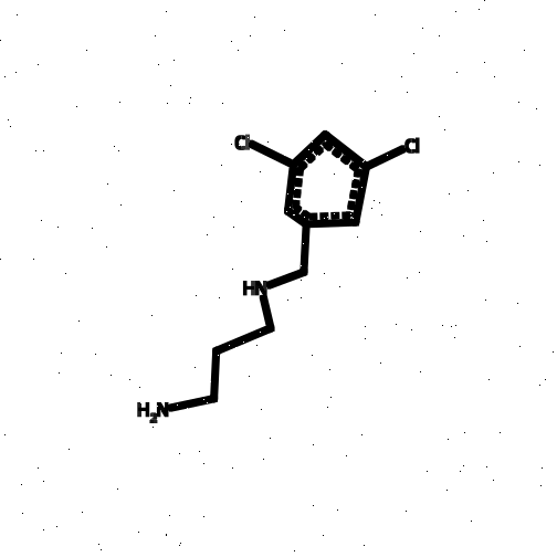 NCCCNCc1cc(Cl)cc(Cl)c1